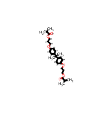 C=C(C)C(=O)OCCCOc1ccc(C(C)(C)c2ccc(OCCCOC(=O)C(=C)C)cc2)cc1